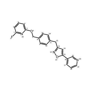 Fc1cccc(OCc2ccc(Cc3cc(-c4cccnc4)on3)cc2)n1